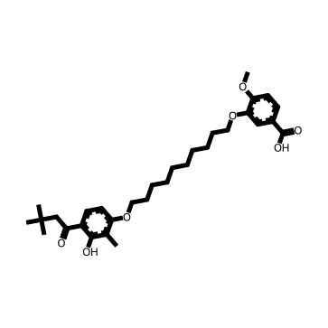 COc1ccc(C(=O)O)cc1OCCCCCCCCCCOc1ccc(C(=O)CC(C)(C)C)c(O)c1C